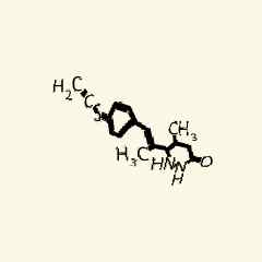 C=CCSc1ccc(/C=C(\C)C2NNC(=O)CC2C)cc1